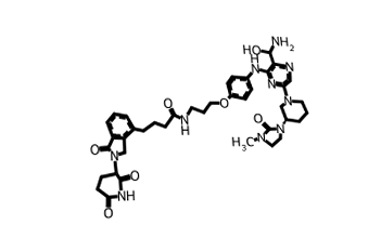 CN1CCN([C@@H]2CCCN(c3cnc(C(N)O)c(Nc4ccc(OCCCNC(=O)CCCc5cccc6c5CN(C5CCC(=O)NC5=O)C6=O)cc4)n3)C2)C1=O